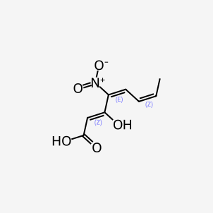 C\C=C/C=C(\C(O)=C\C(=O)O)[N+](=O)[O-]